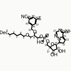 CCCCCCCCCCCCCCCOC[C@H](COP(=O)(O)OC[C@@]1(C)O[C@@H](C2CC=C3C(N)=NC=NN32)[C@H](O)[C@@H]1O)OCc1cc(F)cc(C#N)c1